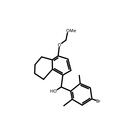 COCOc1ccc(C(O)c2c(C)cc(Br)cc2C)c2c1CCCC2